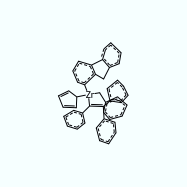 C1=C[CH]([Zr]([CH2]c2ccccc2)([C](=C(c2ccccc2)c2ccccc2)c2ccccc2)[c]2cccc3c2Cc2ccccc2-3)C=C1